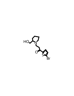 O=C(CCN1CCCCC1CO)c1ccc(Br)s1